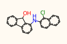 OC1c2ccccc2-c2cccc(Nc3ccc4ccccc4c3Cl)c21